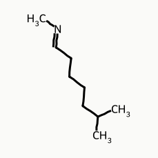 C/N=C/CCCCC(C)C